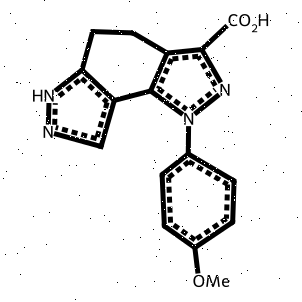 COc1ccc(-n2nc(C(=O)O)c3c2-c2cn[nH]c2CC3)cc1